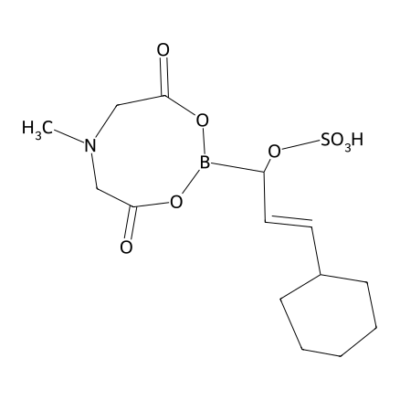 CN1CC(=O)OB(C(/C=C/C2CCCCC2)OS(=O)(=O)O)OC(=O)C1